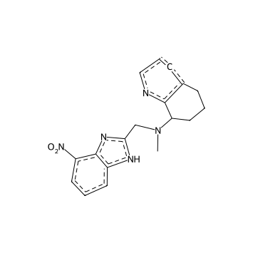 CN(Cc1nc2c([N+](=O)[O-])cccc2[nH]1)C1CCCc2cccnc21